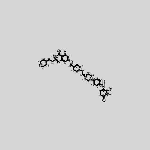 O=C1CCC(Nc2ccc(N3CCN(CCN4CCC(COc5cc(F)c6c(=O)[nH]c(CCC7CCOCC7)nc6c5)CC4)CC3)cc2)C(=O)N1